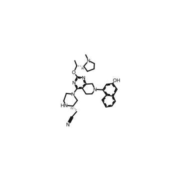 CC(Oc1nc2c(c(N3CCN[C@@H](CC#N)C3)n1)CCN(c1cc(O)cc3ccccc13)C2)[C@H]1CCCN1C